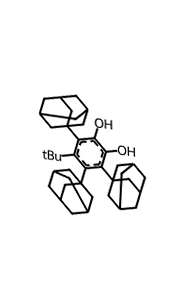 CC(C)(C)c1c(C23CC4CC(CC(C4)C2)C3)c(O)c(O)c(C23CC4CC(CC(C4)C2)C3)c1C12CC3CC(CC(C3)C1)C2